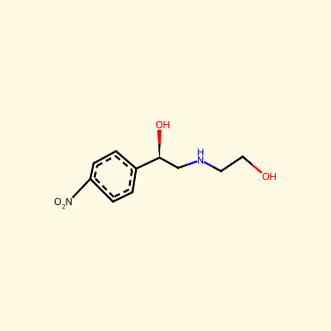 O=[N+]([O-])c1ccc([C@@H](O)CNCCO)cc1